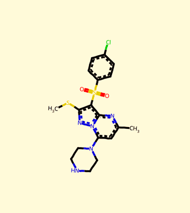 CSc1nn2c(N3CCNCC3)cc(C)nc2c1S(=O)(=O)c1ccc(Cl)cc1